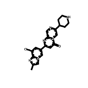 Cc1cn2cc(-c3cc(=O)n4cc(C5CCNCC5)ncc4n3)cc(Cl)c2n1